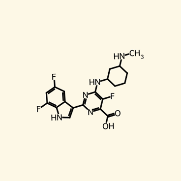 CNC1CCCC(Nc2nc(-c3c[nH]c4c(F)cc(F)cc34)nc(C(=O)O)c2F)C1